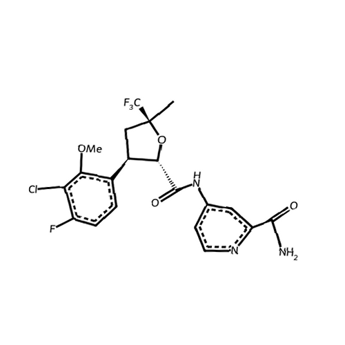 COc1c([C@H]2C[C@@](C)(C(F)(F)F)O[C@@H]2C(=O)Nc2ccnc(C(N)=O)c2)ccc(F)c1Cl